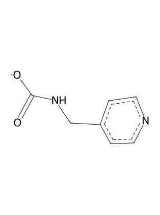 [O]C(=O)NCc1ccncc1